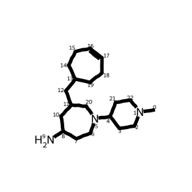 CN1CCC(N2CCC(N)CC(CC3CCC=CCC3)C2)CC1